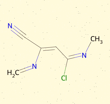 C=N/C(C#N)=C\C(Cl)=N/C